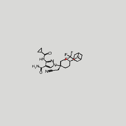 N#CC[C@]1(n2cc(C(N)=O)c(NC(=O)C3CC3)n2)CC[C@H](N2CC3CC(C2)N3CC(F)(F)F)CC1